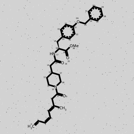 C=C/C=C\C=C(/C)CC(=O)N1CCC(CC(=O)N[C@@H](Cc2ccc(OCc3ccccc3)cc2)C(=O)OC)CC1